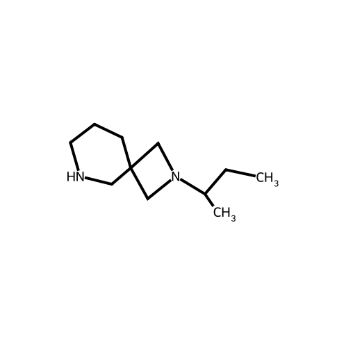 CCC(C)N1CC2(CCCNC2)C1